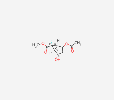 COC(=O)[C@@]1(F)[C@@H]2[C@@H](O)CC(OC(C)=O)[C@@H]21